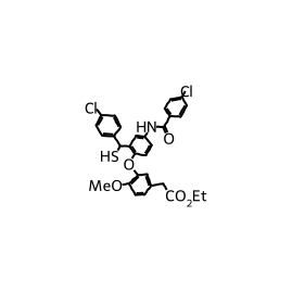 CCOC(=O)Cc1ccc(OC)c(Oc2ccc(NC(=O)c3ccc(Cl)cc3)cc2C(S)c2ccc(Cl)cc2)c1